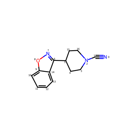 N#CN1CCC(c2noc3ccccc23)CC1